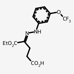 CCOC(=O)C(CCC(=O)O)=NNc1cccc(OC(F)(F)F)c1